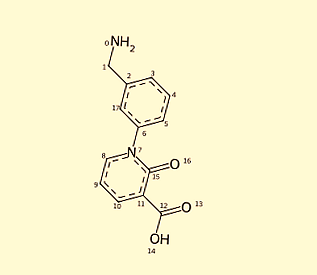 NCc1cccc(-n2cccc(C(=O)O)c2=O)c1